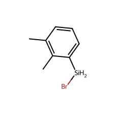 Cc1cccc([SiH2]Br)c1C